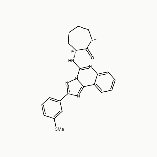 CSc1cccc(-c2nc3c4ccccc4nc(N[C@@H]4CCCCNC4=O)n3n2)c1